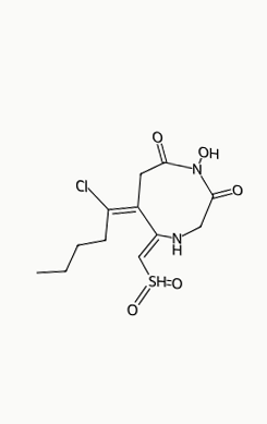 CCCC/C(Cl)=C1/CC(=O)N(O)C(=O)CN/C1=C\[SH](=O)=O